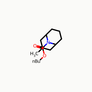 CCCCOC(=O)N1C2CCCC1CC(C)C2